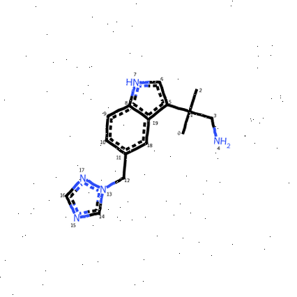 CC(C)(CN)c1c[nH]c2ccc(Cn3cncn3)cc12